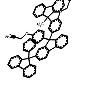 C#CCOc1ccc(C2(c3ccc(OCC#C)c(C4(C)c5ccccc5-c5ccccc54)c3)c3ccccc3-c3ccc(C4(c5ccccc5)c5ccccc5-c5ccccc54)cc32)cc1